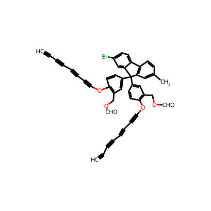 C#CC#CC#CC#COc1ccc(C2(c3ccc(OC#CC#CC#CC#C)c(COC=O)c3)c3cc(C)ccc3-c3ccc(Br)cc32)cc1COC=O